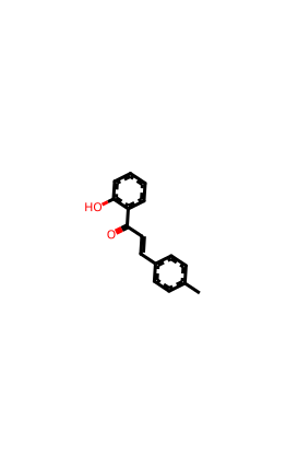 Cc1ccc(C=CC(=O)c2ccccc2O)cc1